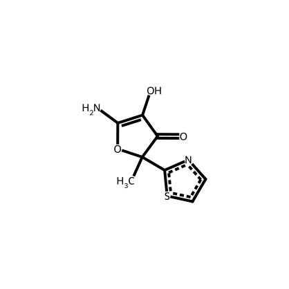 CC1(c2nccs2)OC(N)=C(O)C1=O